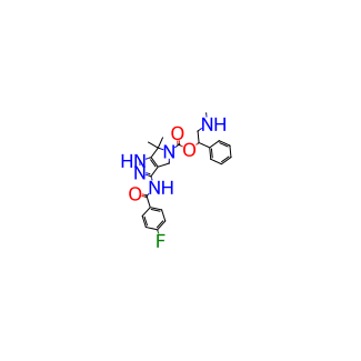 CNCC(OC(=O)N1Cc2c(NC(=O)c3ccc(F)cc3)n[nH]c2C1(C)C)c1ccccc1